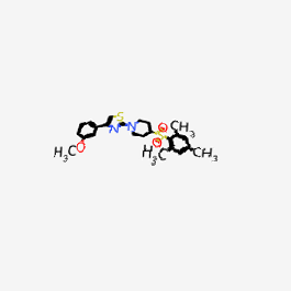 COc1cccc(-c2csc(N3CCC(S(=O)(=O)c4c(C)cc(C)cc4C)CC3)n2)c1